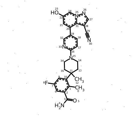 Cc1c(C(N)=O)cc(F)cc1C1(C)CCN(c2ccc(-c3cc(O)cn4ncc(C#N)c34)cn2)CC1